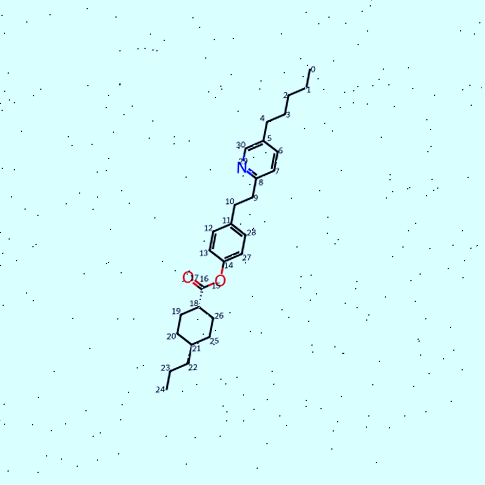 CCCCCc1ccc(CCc2ccc(OC(=O)[C@H]3CC[C@H](CCC)CC3)cc2)nc1